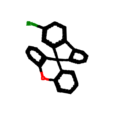 Brc1ccc2c(c1)C1(c3ccccc3Oc3ccccc31)c1ccccc1-2